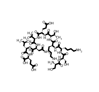 CC(C)C[C@H](NC(=O)[C@H](CC(N)=O)NC(=O)[C@@H](NC(=O)[C@H](CCC(=O)O)NC(=O)[C@@H](NC(=O)[C@H](CCCCN)NC(=O)[C@H](CCCCN)NC(=O)[C@H](CO)NC(=O)[C@@H](N)CO)[C@@H](C)O)C(C)C)C(=O)N[C@@H](CCC(=O)O)C(=O)O